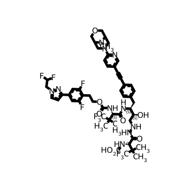 CN1C2COCC1CN(c1ccc(C#Cc3ccc(C[C@H](NC(=O)[C@@H](NC(=O)OCCc4c(F)cc(-c5ccn(CC(F)F)n5)cc4F)C(C)(C)C(F)(F)F)[C@@H](O)CNNC(=O)[C@@H](NC(=O)O)C(C)(C)C(F)(F)F)cc3)cn1)C2